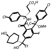 CCC(O)(c1cc(F)c([C@](C)(OC)c2ccc(Cl)cc2)c(C(=O)N[C@@H](CCC(=O)O)c2ccc(Cl)cc2)c1)[C@H]1CC[C@H](O)CC1